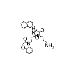 NCCCNC(=O)[C@@H](Cc1ccc2ccccc2c1)NC(=O)CCN1C(=O)COc2ccccc21